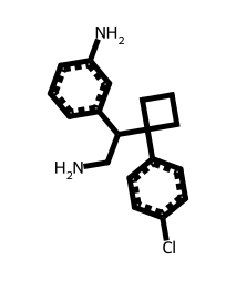 NCC(c1cccc(N)c1)C1(c2ccc(Cl)cc2)CCC1